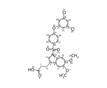 COc1cc2c(CCC(=O)O)cn(S(=O)(=O)c3ccc(Oc4cc(Cl)cc(Cl)c4)cc3)c2cc1OC